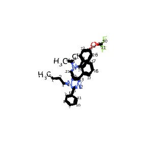 CCCCn1c(-c2ccccc2)nc(-c2ccccc2)c1CN(Cc1ccc(OC(F)F)cc1)C(C)C